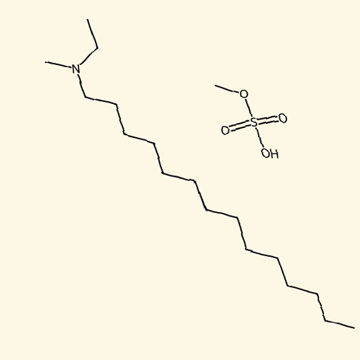 CCCCCCCCCCCCCCN(C)CC.COS(=O)(=O)O